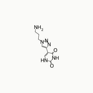 NCCCn1cc(-c2c[nH]c(=O)[nH]c2=O)nn1